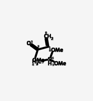 C=CC(=O)OC.CO[SiH](C)OC